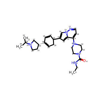 CCNC(=O)N1CCN(c2ccnn3cc(C4C=CC([C@@H]5CCN(C(C)C)C5)=CC4)cc23)CC1